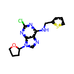 Clc1nc(NCc2cccs2)c2ncn(C3CCCO3)c2n1